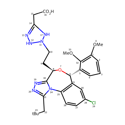 COc1cccc([C@H]2O[C@H](CCN3NN=C(CC(=O)O)N3)c3nnc(CC(C)(C)C)n3-c3ccc(Cl)cc32)c1OC